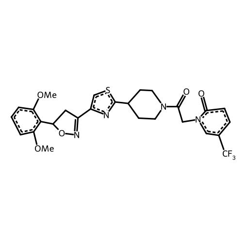 COc1cccc(OC)c1C1CC(c2csc(C3CCN(C(=O)Cn4cc(C(F)(F)F)ccc4=O)CC3)n2)=NO1